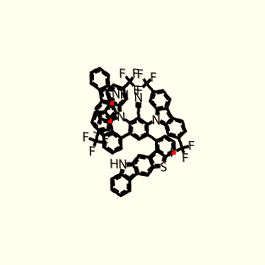 N#Cc1c(-n2c3cc(C(F)(F)F)ccc3c3ccc(C(F)(F)F)cc32)c(-c2cccc3sc4cc5c(cc4c23)[nH]c2ccccc25)cc(-c2cccc3sc4cc5c(cc4c23)[nH]c2ccccc25)c1-n1c2cc(C(F)(F)F)ccc2c2ccc(C(F)(F)F)cc21